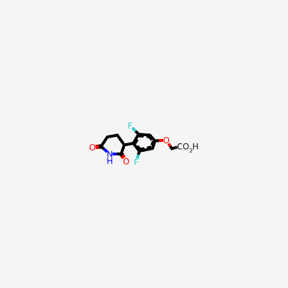 O=C(O)COc1cc(F)c(C2CCC(=O)NC2=O)c(F)c1